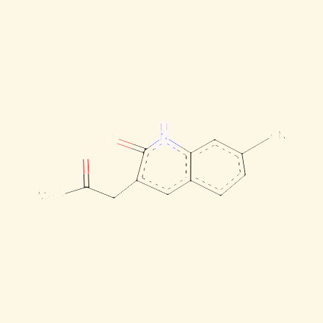 COC(=O)Cc1cc2ccc(C#N)cc2[nH]c1=O